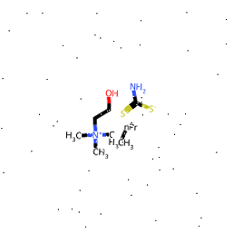 CCCC.C[N+](C)(C)CCO.NC(=S)[S-]